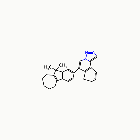 CC1(C)C2=C(CCCCC2)C2C=CC(c3cn4nncc4c4c3CCC=C4)=CC21